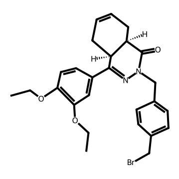 CCOc1ccc(C2=NN(Cc3ccc(CBr)cc3)C(=O)[C@@H]3CC=CC[C@H]23)cc1OCC